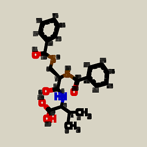 CC(C)C(NC(=O)[C@@H](CSC(=O)c1ccccc1)SC(=O)c1ccccc1)C(=O)O